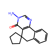 Nn1cnc2c(c1=O)C1(CCCC1)Cc1ccccc1-2